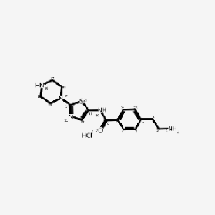 Cl.NCCc1ccc(C(=O)Nc2cnc(N3CCNCC3)s2)cc1